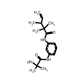 C=CC(C)C(C)(C)C(=O)Nc1cccc(NC(=O)C(C)(C)CCC)c1